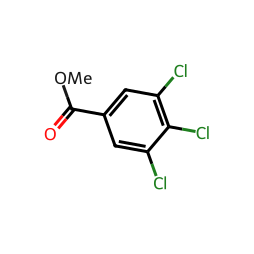 COC(=O)c1cc(Cl)c(Cl)c(Cl)c1